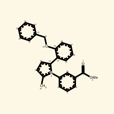 COC(=O)c1cccc(-n2c(C)ccc2-c2ccccc2OCc2ccccc2)c1